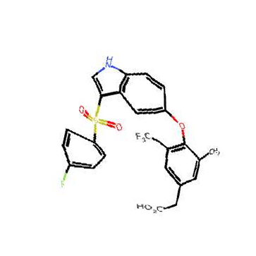 Cc1cc(CC(=O)O)cc(C(F)(F)F)c1Oc1ccc2[nH]cc(S(=O)(=O)c3ccc(F)cc3)c2c1